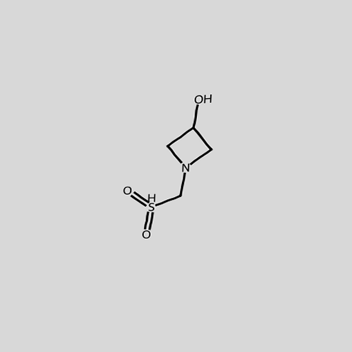 O=[SH](=O)CN1CC(O)C1